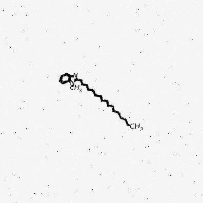 CCCCCCCCCCCCCCCCCc1nc2ccccc2n1C